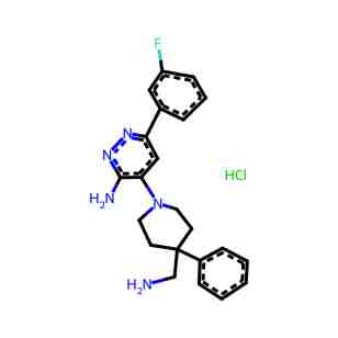 Cl.NCC1(c2ccccc2)CCN(c2cc(-c3cccc(F)c3)nnc2N)CC1